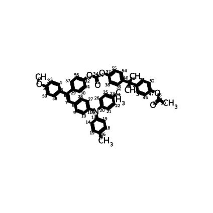 COc1ccc(C(=Cc2ccc(N(c3ccc(C)cc3)c3ccc(C)cc3)cc2)c2ccc(OC(=O)Oc3ccc(C(C)(C)c4ccc(OC(C)=O)cc4)cc3)cc2)cc1